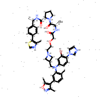 Cc1ccc(-c2c(C)noc2C)cc1N(CC1CN(CCOCC(=O)N[C@H](C(=O)N2CCC[C@H]2C(=O)N[C@@H](C)c2ccc(-c3scnc3C)cc2)C(C)(C)C)C1)c1ccc(-n2ccnc2)c(Br)c1